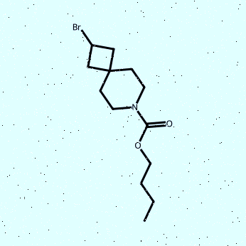 CCCCOC(=O)N1CCC2(CC1)CC(Br)C2